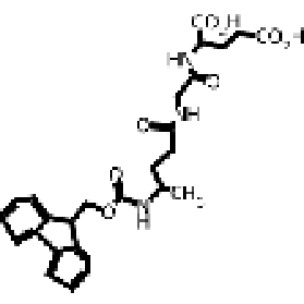 CC(CCC(=O)NCC(=O)NC(CCC(=O)O)C(=O)O)NC(=O)OCC1c2ccccc2-c2ccccc21